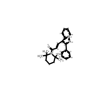 CC1(C)CCCC(C)(C)N1C(=O)C=Cc1c(-c2ccccc2)nn2ccccc12